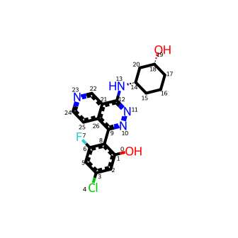 Oc1cc(Cl)cc(F)c1-c1nnc(N[C@H]2CCC[C@@H](O)C2)c2cnccc12